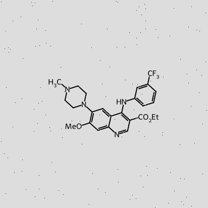 CCOC(=O)c1cnc2cc(OC)c(N3CCN(C)CC3)cc2c1Nc1cccc(C(F)(F)F)c1